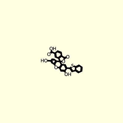 O=C(O)c1ccc2c(c1)C1(OC2=O)c2ccc(O)cc2Oc2cc(O)c(-c3cc4ccccc4s3)cc21